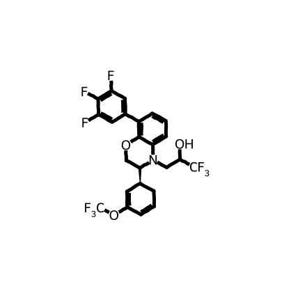 OC(CN1c2cccc(-c3cc(F)c(F)c(F)c3)c2OCC1[C@@H]1C=C(OC(F)(F)F)C=CC1)C(F)(F)F